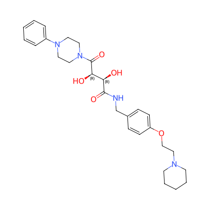 O=C(NCc1ccc(OCCN2CCCCC2)cc1)[C@H](O)[C@@H](O)C(=O)N1CCN(c2ccccc2)CC1